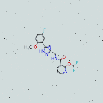 COc1ccc(F)cc1-c1nc(CNC(=O)c2cccnc2OC(F)F)n[nH]1